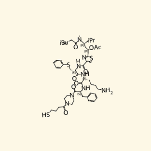 CC[C@H](C)CC(=O)N(C)[C@H](C[C@@H](OC(C)=O)c1nc(C(=O)N[C@@H](CSc2ccccc2)C(=O)N[C@H](CCCCN)C(=O)N[C@@H](Cc2ccccc2)C(=O)N2CCN(C(=O)CCCS)CC2)cs1)C(C)C